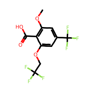 COc1cc(C(F)(F)F)cc(OCC(F)(F)F)c1C(=O)O